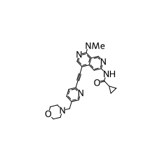 CNc1ncc(C#Cc2ccc(CN3CCOCC3)cn2)c2cc(NC(=O)C3CC3)ncc12